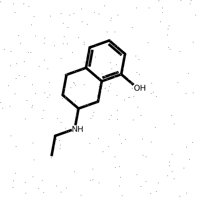 CCNC1CCc2cccc(O)c2C1